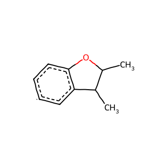 CC1Oc2cc[c]cc2C1C